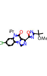 COC(C)(C)c1noc(-c2ncn3c2c(=O)n(C(C)C)c2cc(Cl)ccc23)n1